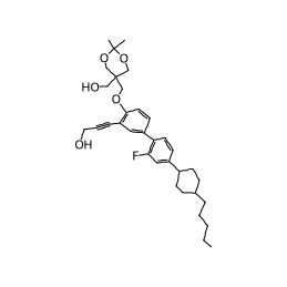 CCCCCC1CCC(c2ccc(-c3ccc(OCC4(CO)COC(C)(C)OC4)c(C#CCO)c3)c(F)c2)CC1